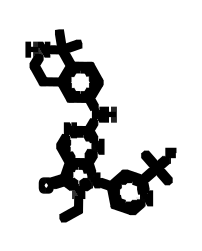 CCn1c(=O)c2cnc(Nc3ccc4c(c3)CCNC4(C)C)nc2n1-c1ccnc(C(C)(C)F)c1